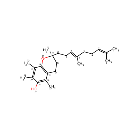 CC(C)=CCC/C(C)=C/CC[C@@]1(C)CCc2c(C)c(O)c(C)c(C)c2O1